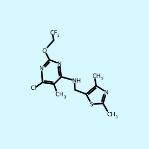 Cc1nc(C)c(CNc2nc(OCC(F)(F)F)nc(Cl)c2C)s1